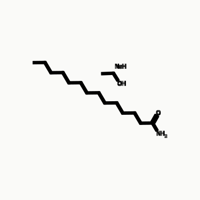 CCCCCCCCCCCCCC(N)=O.CCO.[NaH]